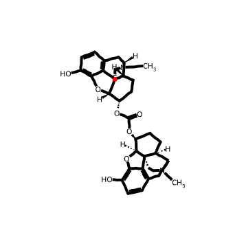 CN1CC[C@]23c4c5ccc(O)c4O[C@H]2[C@@H](OC(=O)O[C@H]2CC[C@H]4[C@H]6Cc7ccc(O)c8c7[C@@]4(CCN6C)[C@H]2O8)CC[C@H]3C1C5